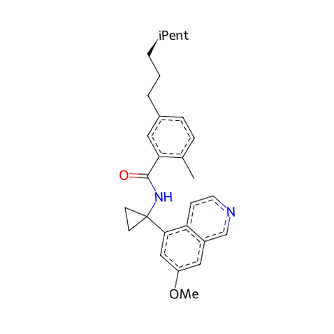 CCC[C@H](C)CCCc1ccc(C)c(C(=O)NC2(c3cc(OC)cc4cnccc34)CC2)c1